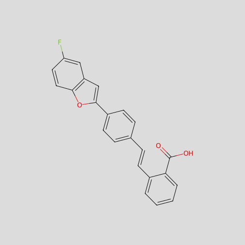 O=C(O)c1ccccc1C=Cc1ccc(-c2cc3cc(F)ccc3o2)cc1